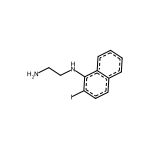 NCCNc1c(I)ccc2ccccc12